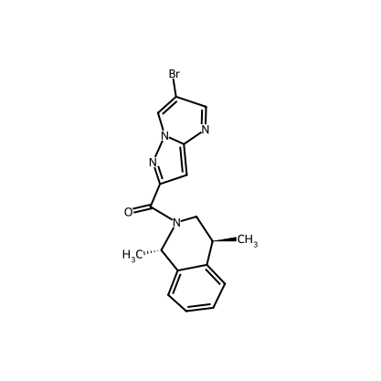 C[C@@H]1CN(C(=O)c2cc3ncc(Br)cn3n2)[C@@H](C)c2ccccc21